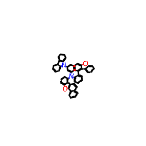 c1cc(N(c2ccccc2-c2cccc3oc4ccccc4c23)c2cccc3oc4c5ccccc5ccc4c23)cc(-n2c3ccccc3c3ccccc32)c1